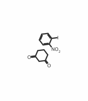 O=C1CCCC(=O)C1.O=[N+]([O-])c1ccccc1I